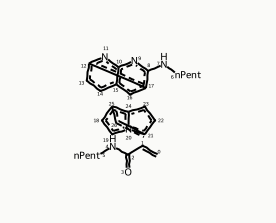 C=CC(=O)NCCCCC.CCCCCNc1nc2nc3ccc2cc13.c1cn2c3ccc2c1c3